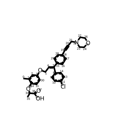 Cc1cc(OCC=C(c2ccc(Cl)cc2)c2ccc(C#CCN3CCOCC3)cc2)ccc1OC(C)C(=O)O